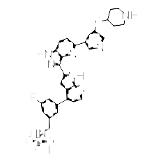 CS(=O)(=O)NCc1cc(F)cc(-c2ccnc3[nH]c(-c4n[nH]c5ccc(-c6cncc(OC7CCNCC7)c6)nc45)cc23)c1